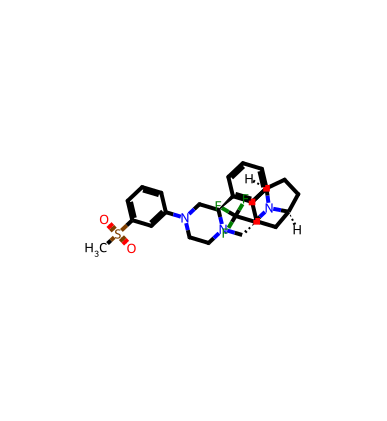 CS(=O)(=O)c1cccc(N2CCN(C[C@@H]3C[C@H]4CC[C@@H](C3)N4CC(F)(F)F)[C@H](c3ccccc3)C2)c1